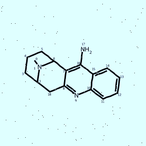 CN1C2CCCC1c1c(nc3ccccc3c1N)C2